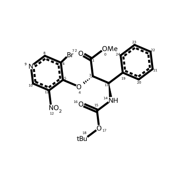 COC(=O)[C@@H](Oc1c(Br)cncc1[N+](=O)[O-])[C@H](NC(=O)OC(C)(C)C)c1ccccc1